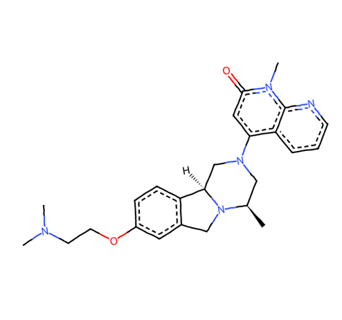 C[C@@H]1CN(c2cc(=O)n(C)c3ncccc23)C[C@@H]2c3ccc(OCCN(C)C)cc3CN12